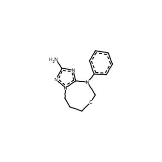 Nc1nc2n(n1)CCCCCN2c1ccccc1